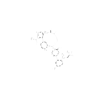 C/C(N)=C/N(N)c1ccc(Cl)cc1-c1cc(=O)n(C2CCCC(C)C(=O)Nc3cnn(C(F)F)c3-c3ccnc2c3)cn1